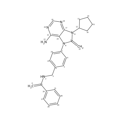 C=C(NCc1ccc(N2C(=C)N(C3CCCC3)c3ncnc(N)c32)cc1)c1ccccc1